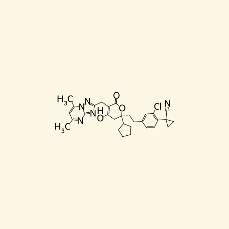 Cc1cc(C)n2nc(CC3=C(O)C[C@](CCc4ccc(C5(C#N)CC5)c(Cl)c4)(C4CCCC4)OC3=O)nc2n1